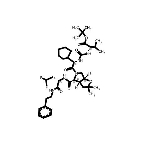 CC(C)[C@H](NC(=O)N[C@H](C(=O)N1C[C@@H]2OC(C)(C)C[C@@H]2[C@H]1C(=O)N[C@@H](CC(F)F)C(=O)NCCc1ccccc1)C1CCCCC1)C(=O)OC(C)(C)C